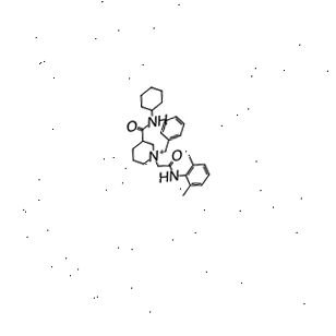 Cc1cccc(C)c1NC(=O)C[N+]1(Cc2ccccc2)CCCC(C(=O)NC2CCCCC2)C1